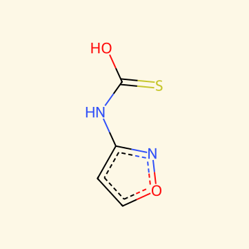 OC(=S)Nc1ccon1